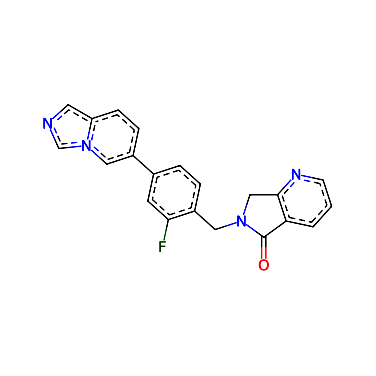 O=C1c2cccnc2CN1Cc1ccc(-c2ccc3cncn3c2)cc1F